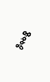 Cc1cc(N2c3ccccc3C3C=CCCC32C)ccc1-c1ccc(-n2c3ccccc3c3ccccc32)cc1C